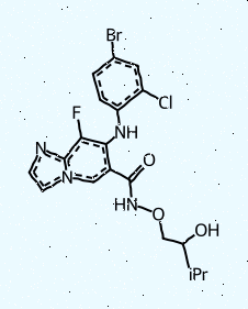 CC(C)C(O)CONC(=O)c1cn2ccnc2c(F)c1Nc1ccc(Br)cc1Cl